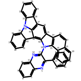 c1ccc(-c2nc3ccccc3nc2-n2c3c4ccccc4ccc3c3cc4c5ccccc5n5c6ccccc6c(c32)c45)cc1